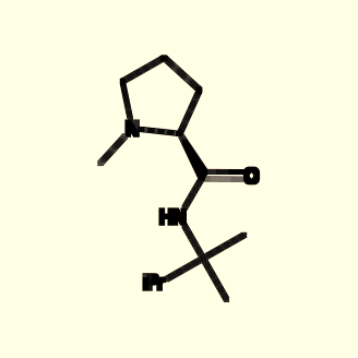 CC(C)C(C)(C)NC(=O)[C@@H]1CCCN1C